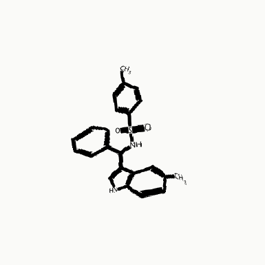 Cc1ccc(S(=O)(=O)NC(c2ccccc2)c2c[nH]c3ccc(C)cc23)cc1